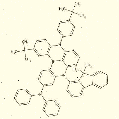 CC(C)(C)c1ccc(N2c3ccc(C(C)(C)C)cc3B3c4ccc(N(c5ccccc5)c5ccccc5)cc4N(c4cccc5c4C(C)(C)c4ccccc4-5)c4cccc2c43)cc1